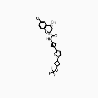 O=C(NC12CC(c3ccn(C4CC(OC(F)(F)F)C4)n3)(C1)C2)[C@H]1C[C@@H](O)c2cc(Cl)ccc2O1